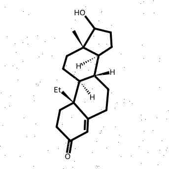 CC[C@]12CCC(=O)C=C1CC[C@@H]1[C@@H]2CC[C@]2(C)C(O)CC[C@@H]12